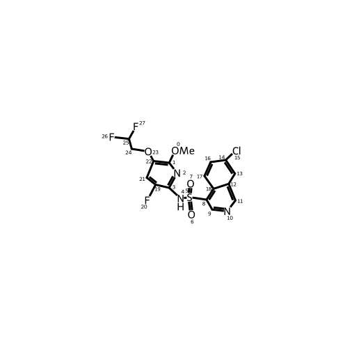 COc1nc(NS(=O)(=O)c2cncc3cc(Cl)ccc23)c(F)cc1OCC(F)F